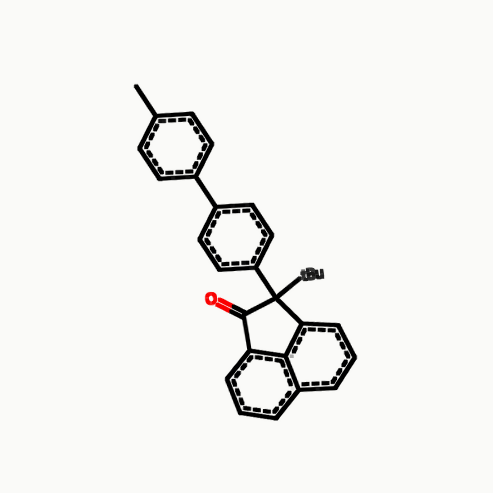 Cc1ccc(-c2ccc(C3(C(C)(C)C)C(=O)c4cccc5cccc3c45)cc2)cc1